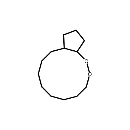 C1CCCCC2CCCC2OOCCC1